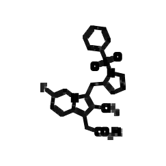 CCOC(=O)Cc1c(C)c(Cc2cccn2S(=O)(=O)c2ccccc2)n2cc(F)ccc12